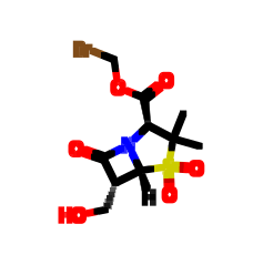 CC1(C)[C@H](C(=O)OCBr)N2C(=O)[C@@H](CO)[C@H]2S1(=O)=O